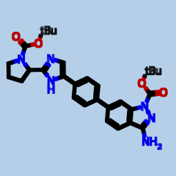 CC(C)(C)OC(=O)N1CCCC1c1ncc(-c2ccc(-c3ccc4c(N)nn(C(=O)OC(C)(C)C)c4c3)cc2)[nH]1